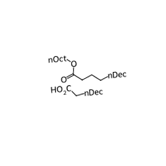 CCCCCCCCCCCC(=O)O.CCCCCCCCCCCCCC(=O)OCCCCCCCC